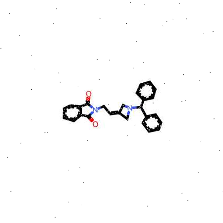 O=C1c2ccccc2C(=O)N1CC=C1CN(C(c2ccccc2)c2ccccc2)C1